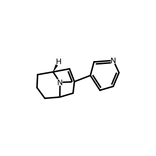 CN1C2CCC[C@@H]1C=C(c1cccnc1)C2